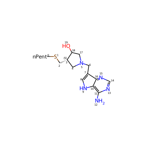 CCCCCSC[C@H]1CN(Cc2c[nH]c3c(N)ncnc23)CC1O